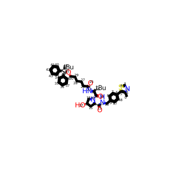 Cc1ncsc1-c1ccc(CNC(=O)[C@@H]2C[C@@H](O)CN2C(=O)C(NC(=O)CCCCCO[Si](c2ccccc2)(c2ccccc2)C(C)(C)C)C(C)(C)C)cc1